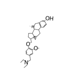 CCN(CC)Cc1ccc(OCC2CCC3C4C(CC[C@]23C)c2ccc(O)cc2C[C@H]4C)c(OC)c1